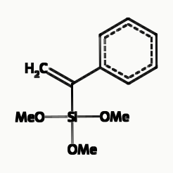 C=C(c1ccccc1)[Si](OC)(OC)OC